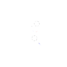 C[C@H](c1ccccc1)N1Cc2ccc(C#N)cc2C1=O